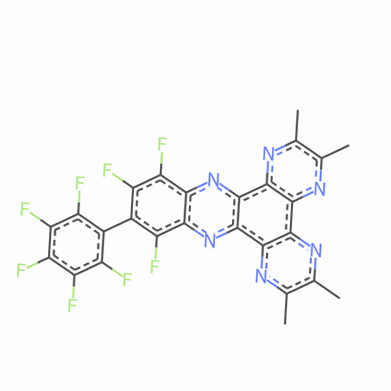 Cc1nc2c3nc(C)c(C)nc3c3nc4c(F)c(-c5c(F)c(F)c(F)c(F)c5F)c(F)c(F)c4nc3c2nc1C